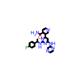 CC(Nc1nc(Nc2cnccn2)cc(-c2cnccc2C(N)=O)n1)c1ccc(F)cc1